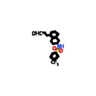 O=CCCc1cccc2c1CCC(NS(=O)(=O)c1ccc(C(F)(F)F)cc1)C2